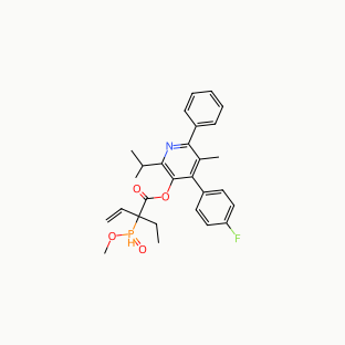 C=CC(CC)(C(=O)Oc1c(C(C)C)nc(-c2ccccc2)c(C)c1-c1ccc(F)cc1)[PH](=O)OC